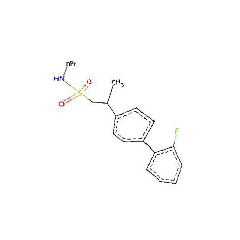 CCCNS(=O)(=O)CC(C)c1ccc(-c2ccccc2F)cc1